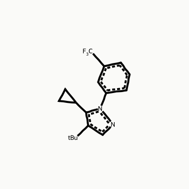 CC(C)(C)c1cnn(-c2cccc(C(F)(F)F)c2)c1C1CC1